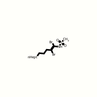 CCCCCCCCCCC(Br)=C(Br)NS(C)(=O)=O